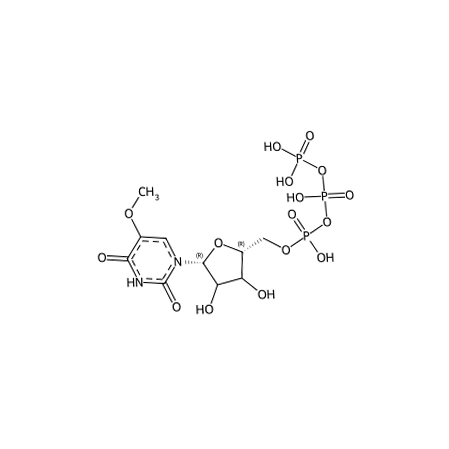 COc1cn([C@@H]2O[C@H](COP(=O)(O)OP(=O)(O)OP(=O)(O)O)C(O)C2O)c(=O)[nH]c1=O